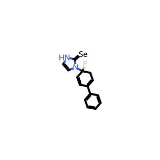 FC1(n2cc[nH]c2=[Se])C=CC(c2ccccc2)=CC1